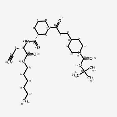 C#CC[C@H](NC(=O)[C@@H]1CCCN(C(=O)CCC2CCN(C(=O)OC(C)(C)C)CC2)C1)C(=O)OCCCCCC